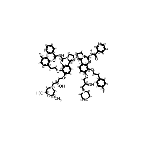 C[C@@H]1CN(C[C@@H](O)COc2ccc3c(c2OCCc2ccc(F)cc2)N=C(NC(=O)c2cccnc2)N2CCN=C32)C[C@H](C)O1.O=C(NC1=Nc2c(ccc(OCC(O)CN3CCOCC3)c2OCCc2ccc(F)cc2)C2=NCCN12)c1cccnc1